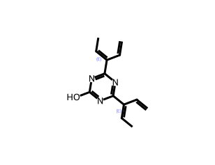 C=C/C(=C\C)c1nc(O)nc(/C(C=C)=C/C)n1